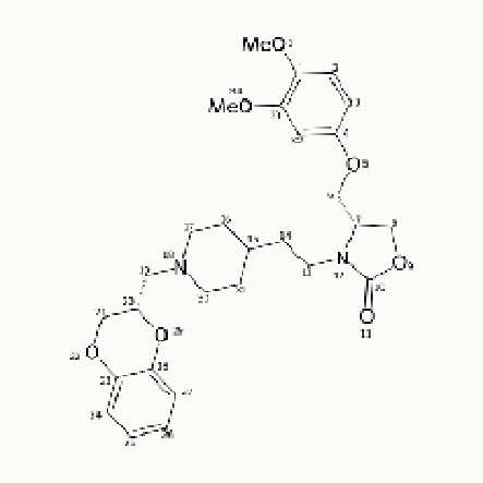 COc1ccc(OC[C@@H]2COC(=O)N2CCC2CCN(C[C@H]3COc4ccccc4O3)CC2)cc1OC